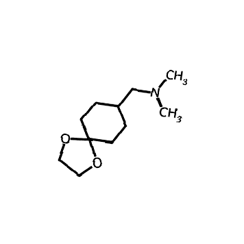 CN(C)CC1CCC2(CC1)OCCO2